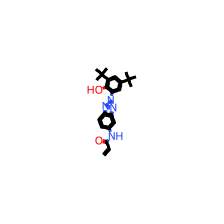 C=CC(=O)Nc1ccc2c(c1)n1n(-c3cc(C(C)(C)C)cc(C(C)(C)C)c3O)n21